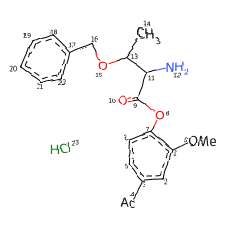 COc1cc(C(C)=O)ccc1OC(=O)C(N)C(C)OCc1ccccc1.Cl